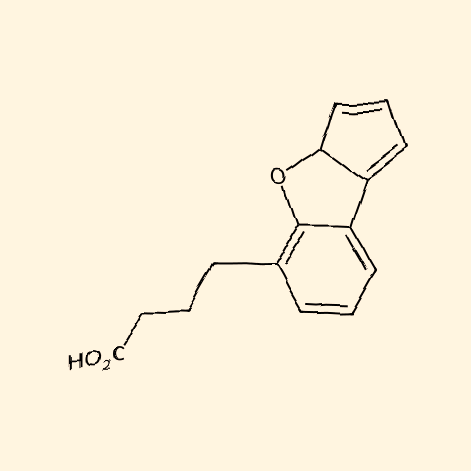 O=C(O)CCCc1cccc2c1OC1C=CC=C21